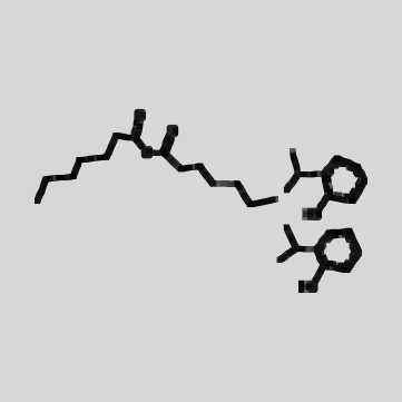 CC(C)c1ccccc1O.CC(C)c1ccccc1O.CCCCCCC(=O)OC(=O)CCCCCC